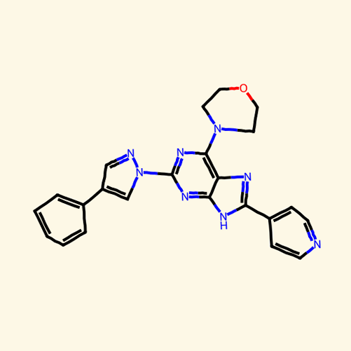 c1ccc(-c2cnn(-c3nc(N4CCOCC4)c4nc(-c5ccncc5)[nH]c4n3)c2)cc1